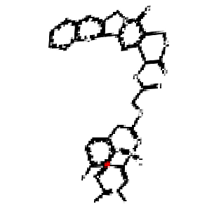 C=C(C)/C=C\C(=C/CC)S(=O)(=O)/N=C(\Cc1ccc(F)cc1)NCC(=O)OC1C(=O)OCc2c1cc1n(c2=O)Cc2cc3ccccc3nc2-1